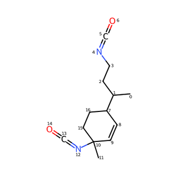 CC(CCN=C=O)C1C=CC(C)(N=C=O)CC1